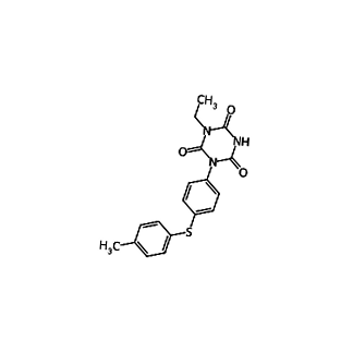 CCn1c(=O)[nH]c(=O)n(-c2ccc(Sc3ccc(C)cc3)cc2)c1=O